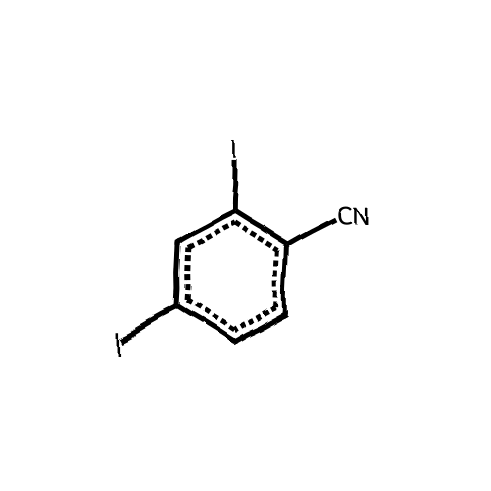 N#Cc1ccc(I)cc1I